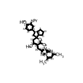 CCCc1cc(CCC2(C3CCCC3)CC(O)=C(Cc3nc4nc(C)cc(C)n4n3)C(=O)O2)ccc1O